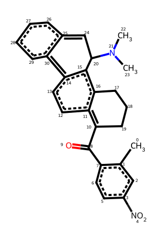 Cc1cc([N+](=O)[O-])ccc1C(=O)C1=c2ccc3c(c2CCC1)C(N(C)C)C=c1ccccc1=3